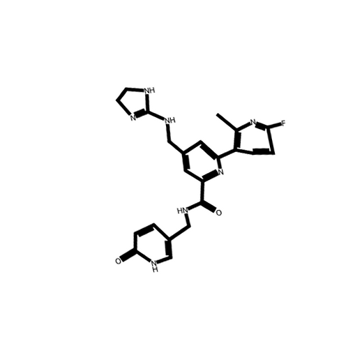 Cc1nc(F)ccc1-c1cc(CNC2=NCCN2)cc(C(=O)NCc2ccc(=O)[nH]c2)n1